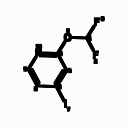 FC(F)Oc1cc(I)ccn1